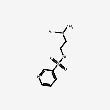 CN(C)CCNS(=O)(=O)c1cccnc1